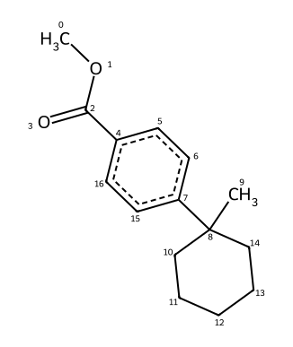 COC(=O)c1ccc(C2(C)CCCCC2)cc1